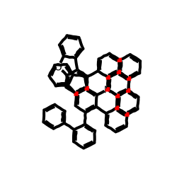 c1ccc(-c2ccccc2-c2cc3c(c(N(c4ccccc4-c4ccccc4)c4ccccc4-c4cccc5oc6ccccc6c45)c2-c2ccccc2-c2ccccc2)Cc2ccccc2-3)cc1